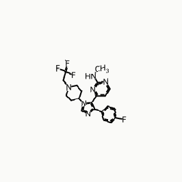 CNc1nccc(-c2c(-c3ccc(F)cc3)ncn2C2CCN(CC(F)(F)F)CC2)n1